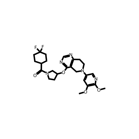 COc1cc(N2CCc3ncnc(OC4CCN(C(=O)C5CCC(F)(F)CC5)C4)c3C2)cnc1OC